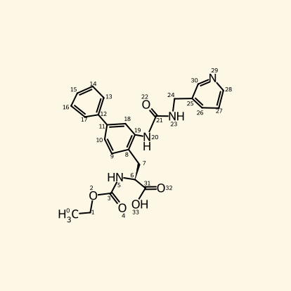 CCOC(=O)N[C@@H](Cc1ccc(-c2ccccc2)cc1NC(=O)NCc1cccnc1)C(=O)O